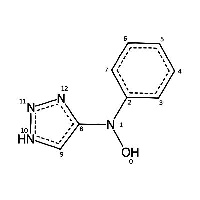 ON(c1ccccc1)c1c[nH]nn1